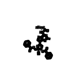 C#C[C@]1(COC(=O)C23CCC(CC2)CC3)O[C@@H](n2cnc3c(NC(=O)CCCCCCC)nc(C)nc32)C[C@@H]1OC(=O)C12CCC(CC1)CC2